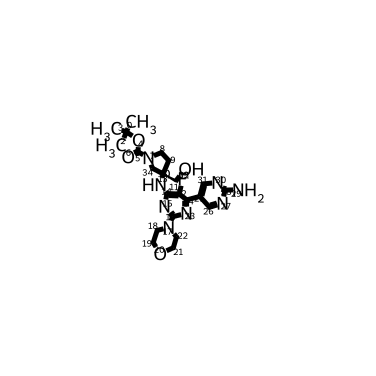 CC(C)(C)OC(=O)N1CC[C@](CO)(Nc2nc(N3CCOCC3)nc(-c3cnc(N)nc3)c2F)C1